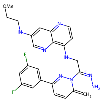 C=C1C=CC(c2cc(F)cc(F)c2)=NN1/C(CNc1ccnc2cc(NCCOC)cnc12)=N\N